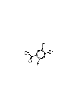 CCC(=O)c1cc(F)c(Br)cc1F